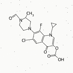 CC1CN(c2c(Cl)cc3c(=O)c(OC(=O)O)cn(C4CC4)c3c2F)CCN1C=O